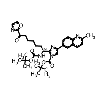 Cc1ccc2cc(-c3cn(C(=O)OC(C)(C)C)c([C@H](CCCCCC(=O)c4ncco4)NC(=O)OC(C)(C)C)n3)ccc2n1